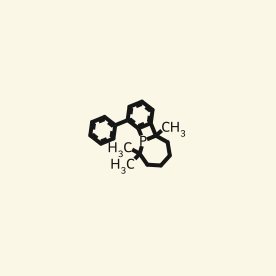 CC1(C)CCCCC2(C)c3cccc(-c4ccccc4)c3P12